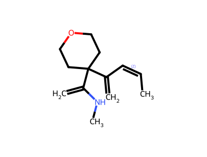 C=C(/C=C\C)C1(C(=C)NC)CCOCC1